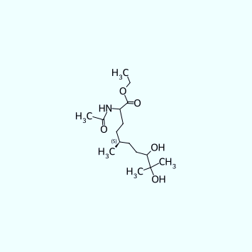 CCOC(=O)C(CC[C@H](C)CCC(O)C(C)(C)O)NC(C)=O